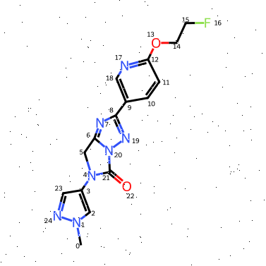 Cn1cc(N2Cc3nc(-c4ccc(OCCF)nc4)nn3C2=O)cn1